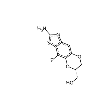 Nc1nc2cc3c(c(F)c2s1)O[C@@H](CO)CO3